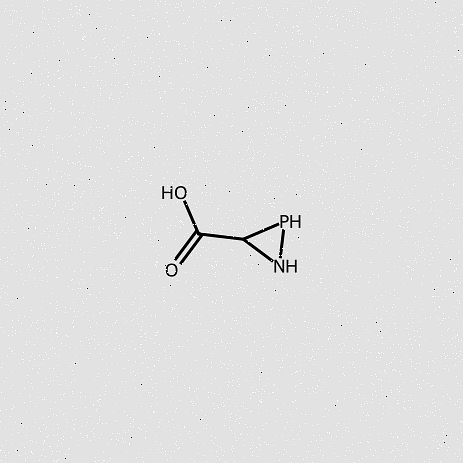 O=C(O)C1NP1